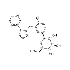 OC[C@H]1O[C@@H](c2ccc(Cl)c(Cc3sccc3-c3cnccn3)c2)[C@H](O)[C@@H](O)[C@@H]1O